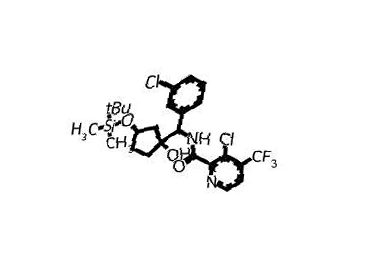 CC(C)(C)[Si](C)(C)OC1CCC(O)(C(NC(=O)c2nccc(C(F)(F)F)c2Cl)c2cccc(Cl)c2)C1